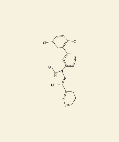 CNN(/N=C(\C)C1=NC=CCC1)c1cccc(C2=C(Cl)C=CC(Cl)C2)c1